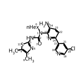 CCCCCCN(C(=O)Nc1nc(C)c(C)s1)c1nc(-c2cncc(Cl)c2)ccc1N